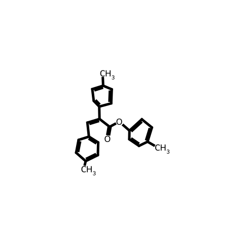 Cc1ccc(C=C(C(=O)Oc2ccc(C)cc2)c2ccc(C)cc2)cc1